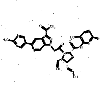 C=C[C@@H]1[C@@H](/C=N/O)C[C@@H](C(=O)Nc2nc(Br)ccc2C)N1C(=O)Cn1nc(C(C)=O)c2cc(-c3cnc(C)nc3)ncc21